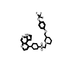 O=S(=O)(CN1CCCC(COc2ccc(OC(F)(F)F)cc2)C1)C1CCC(c2ccnc3cnc4[nH]ccc4c23)CC1